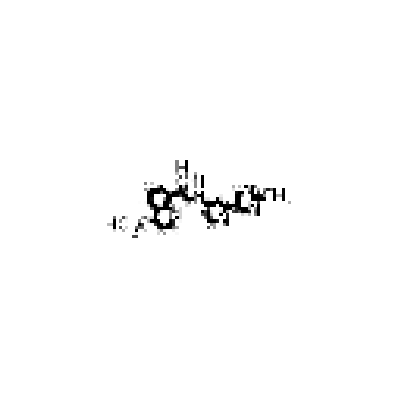 Cc1ncc(-c2cc(NC[C@@H](C)c3cccc4c(C(=O)O)ccnc34)ncn2)cn1